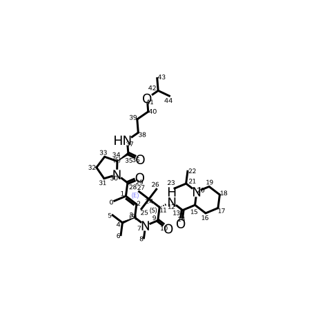 C/C(=C\[C@H](C(C)C)N(C)C(=O)[C@@H](NC(=O)C1CCCCN1C(C)C)C(C)(C)C)C(=O)N1CCC[C@H]1C(=O)NCCCOC(C)C